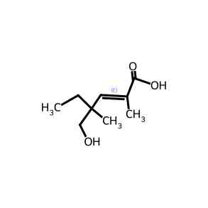 CCC(C)(/C=C(\C)C(=O)O)CO